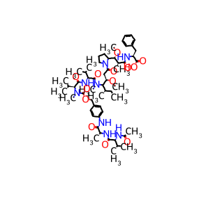 CC[C@H](C)C([C@@H](CC(=O)N1CCCC1[C@H](OC)[C@@H](C)C(=O)N[C@@H](Cc1ccccc1)C(=O)O)OC)N(C)C(=O)[C@@H](NC(=O)[C@H](C(C)C)N(C)C(=O)OCc1ccc(NC(=O)[C@H](C)NC(=O)[C@@H](NC(C)=O)C(C)C)cc1)C(C)C